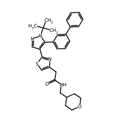 CC(C)(C)n1ncc(-c2nc(CC(=O)NCC3CCOCC3)cs2)c1-c1cccc(-c2ccccc2)c1